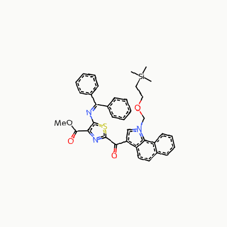 COC(=O)c1nc(C(=O)c2cn(COCC[Si](C)(C)C)c3c2ccc2ccccc23)sc1N=C(c1ccccc1)c1ccccc1